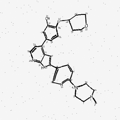 CN1CCN(c2ccc(-c3cc4c(-c5ccc(OC6CCOCC6)c(C#N)c5)ccnc4[nH]3)cn2)CC1